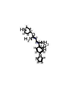 N/C(=C\C=C(/N)OC1CCNCC1)c1ccc(-n2cccn2)cc1O